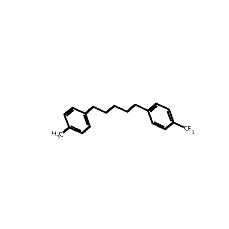 Cc1ccc(CCCCCc2ccc(C(F)(F)F)cc2)cc1